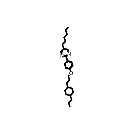 CCCCCCc1cnc(-c2ccc(OCCCC3CCC(CCC)CC3)cc2)nc1